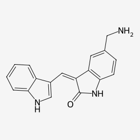 NCc1ccc2c(c1)C(=Cc1c[nH]c3ccccc13)C(=O)N2